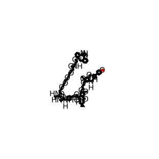 COc1ccc(C2=CN3C(=O)c4cc(OC)c(OCCCOc5cc6c(cc5OC)C(=O)N5CC7(CC7)C[C@H]5[C@H](O)N6C(=O)OCc5ccc(NC(=O)[C@H](C)NC(=O)[C@@H](NC(=O)CCOCCOCCOCCOCCC(=O)NCCC(=O)N6Cc7ccccc7-c7c(nnn7C)-c7ccccc76)C(C)C)cc5)cc4NC[C@@H]3C2)cc1